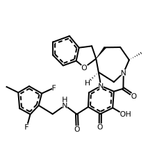 Cc1cc(F)c(CNC(=O)c2cn3c(c(O)c2=O)C(=O)N2C[C@@H]3[C@@]3(CC[C@@H]2C)Cc2ccccc2O3)c(F)c1